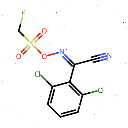 N#C/C(=N/OS(=O)(=O)CF)c1c(Cl)cccc1Cl